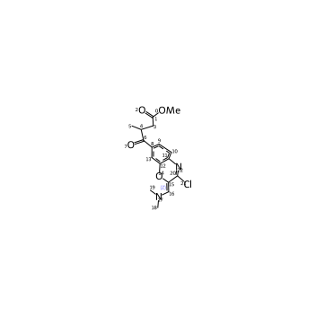 COC(=O)CC(C)C(=O)c1ccc2c(c1)O/C(=C\N(C)C)C(Cl)=N2